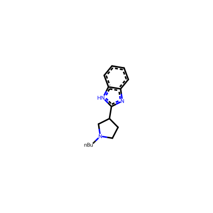 CCCCN1CCC(c2nc3ccccc3[nH]2)C1